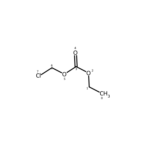 CCOC(=O)O[CH]Cl